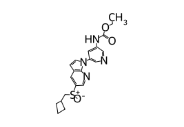 CCOC(=O)Nc1cncc(-n2ccc3cc([S+]([O-])CC4CCC4)cnc32)c1